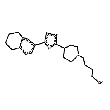 OCCCCN1CCC(c2nc(-c3ccc4c(c3)CCCC4)cs2)CC1